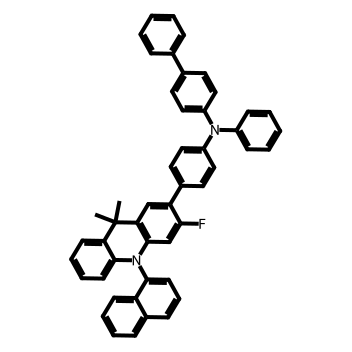 CC1(C)c2ccccc2N(c2cccc3ccccc23)c2cc(F)c(-c3ccc(N(c4ccccc4)c4ccc(-c5ccccc5)cc4)cc3)cc21